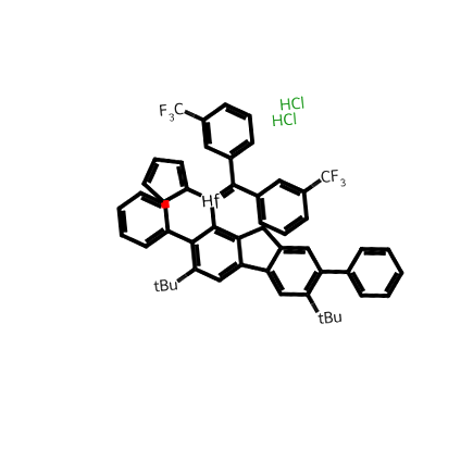 CC(C)(C)c1cc2c(cc1-c1ccccc1)Cc1c-2cc(C(C)(C)C)c(-c2ccccc2)[c]1[Hf]([C]1=CC=CC1)=[C](c1cccc(C(F)(F)F)c1)c1cccc(C(F)(F)F)c1.Cl.Cl